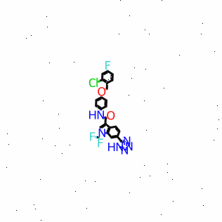 O=C(Nc1ccc(OCc2ccc(F)cc2Cl)cc1)c1cn(C(F)F)c2cc(-c3nnn[nH]3)ccc12